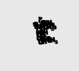 CO[C@@H]1C[C@H](C(=O)Nc2cc(C(CCC3CC3)(N[S+]([O-])C(C)(C)C)c3ccccn3)ccc2F)N(C(=O)O)C1